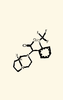 O=C(O)C(c1ccccc1OC(F)(F)F)N1CCN2CCC[C@@H]2C1